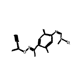 C#CC(C)O/N=C(\C)c1cc(C)c(/N=C\N(C)CC)cc1C